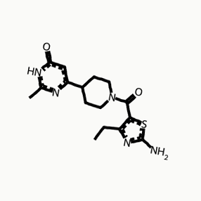 CCc1nc(N)sc1C(=O)N1CCC(c2cc(=O)[nH]c(C)n2)CC1